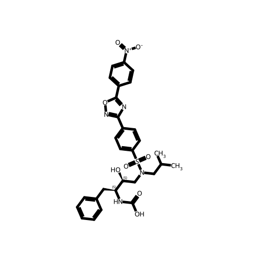 CC(C)CN(C[C@H](O)[C@H](Cc1ccccc1)NC(=O)O)S(=O)(=O)c1ccc(-c2noc(-c3ccc([N+](=O)[O-])cc3)n2)cc1